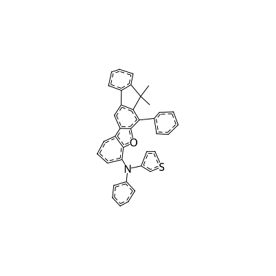 CC1(C)c2ccccc2-c2cc3c(oc4c(N(c5ccccc5)c5ccsc5)cccc43)c(-c3ccccc3)c21